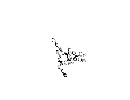 O=C(O)C(=O)O.O=C=NSSSSN=C=O.O=P(O)(O)O